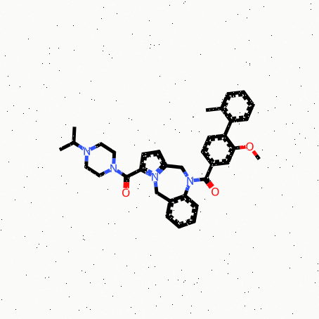 COc1cc(C(=O)N2Cc3ccc(C(=O)N4CCN(C(C)C)CC4)n3Cc3ccccc32)ccc1-c1ccccc1C